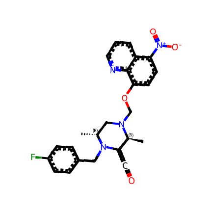 C[C@@H]1CN(COc2ccc([N+](=O)[O-])c3cccnc23)[C@@H](C)C(=C=O)N1Cc1ccc(F)cc1